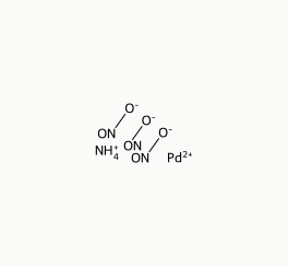 O=N[O-].O=N[O-].O=N[O-].[NH4+].[Pd+2]